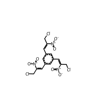 O=[N+]([O-])C(=Cc1cc(C=C(CCl)[N+](=O)[O-])cc(C=C(CCl)[N+](=O)[O-])c1)CCl